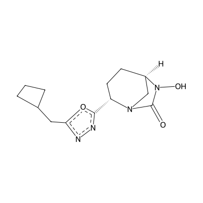 O=C1N(O)[C@@H]2CC[C@@H](c3nnc(CC4CCC4)o3)N1C2